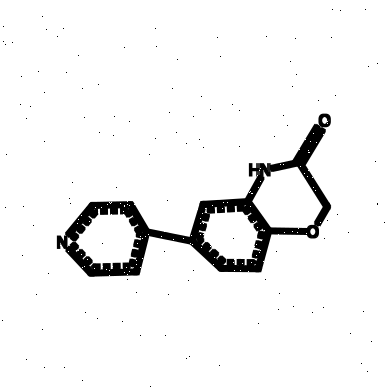 O=C1COc2ccc(-c3ccncc3)cc2N1